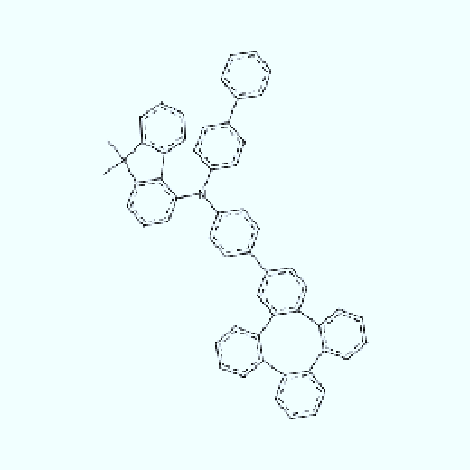 CC1(C)c2ccccc2-c2c(N(c3ccc(-c4ccccc4)cc3)c3ccc(-c4ccc5c(c4)-c4ccccc4-c4ccccc4-c4ccccc4-5)cc3)cccc21